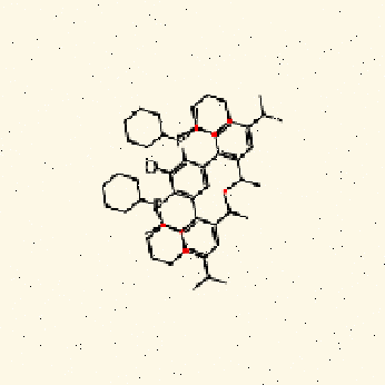 COc1c(P(C2CCCCC2)C2CCCCC2)c(-c2c(C(C)C)cc(C(C)C)cc2C(C)C)cc(-c2c(C(C)C)cc(C(C)C)cc2C(C)C)c1P(C1CCCCC1)C1CCCCC1